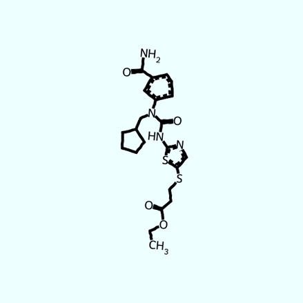 CCOC(=O)CCSc1cnc(NC(=O)N(CC2CCCC2)c2cccc(C(N)=O)c2)s1